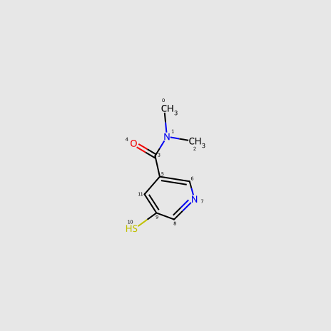 CN(C)C(=O)c1cncc(S)c1